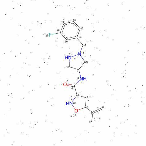 C=C(C)C1CC(C(=O)NC2CNN(Cc3cccc(F)c3)C2)NO1